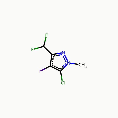 Cn1nc(C(F)F)c(I)c1Cl